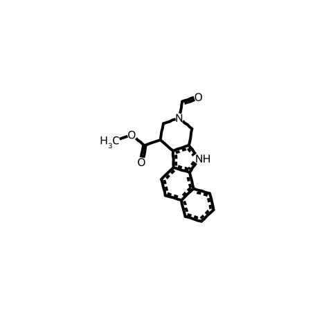 COC(=O)C1CN(C=O)Cc2[nH]c3c(ccc4ccccc43)c21